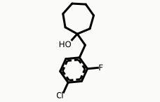 OC1(Cc2ccc(Cl)cc2F)CCCCCC1